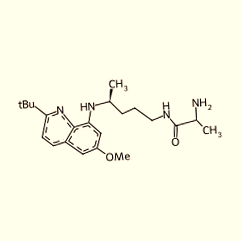 COc1cc(N[C@@H](C)CCCNC(=O)C(C)N)c2nc(C(C)(C)C)ccc2c1